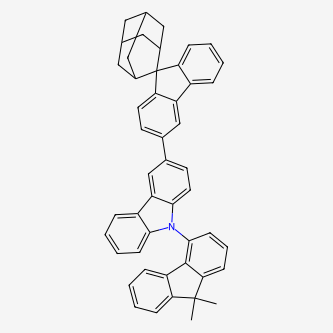 CC1(C)c2ccccc2-c2c(-n3c4ccccc4c4cc(-c5ccc6c(c5)-c5ccccc5C65C6CC7CC(C6)CC5C7)ccc43)cccc21